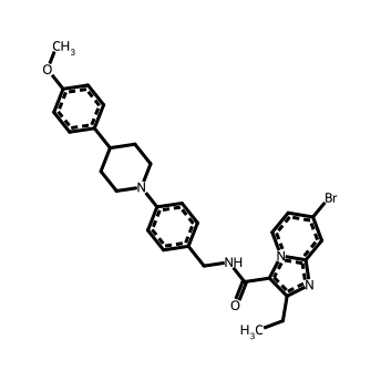 CCc1nc2cc(Br)ccn2c1C(=O)NCc1ccc(N2CCC(c3ccc(OC)cc3)CC2)cc1